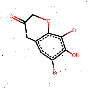 O=C1COc2c(cc(Br)c(O)c2Br)C1